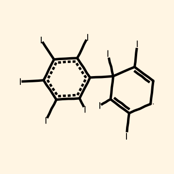 IC1=C[CH]C(I)=C(I)C1(I)c1c(I)c(I)c(I)c(I)c1I